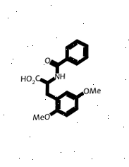 COc1ccc(OC)c(CC(NC(=O)c2ccccc2)C(=O)O)c1